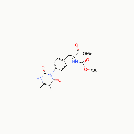 COC(=O)[C@H](Cc1ccc(-n2c(=O)[nH]c(C)c(C)c2=O)cc1)NC(=O)OC(C)(C)C